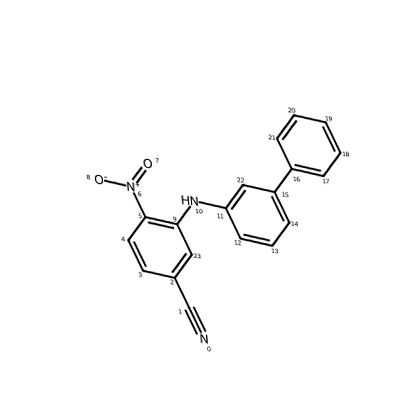 N#Cc1ccc([N+](=O)[O-])c(Nc2cccc(-c3ccccc3)c2)c1